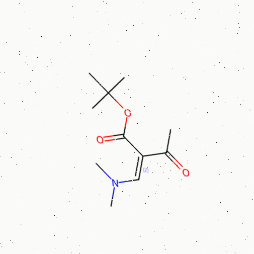 CC(=O)/C(=C/N(C)C)C(=O)OC(C)(C)C